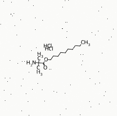 CCCCCCCCCCOC(=O)C(C)(C)N.Cl.Cl